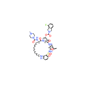 C=C[C@@H]1C[C@@]12NC(=O)[C@@H]1C[C@@H](OC(=O)N3Cc4cccc(F)c4C3)CN1C(=O)[C@@H](NC(=O)N1CCN(C)CC1)CCCCCCCNc1ccccc1S(=O)(=O)NC2=O